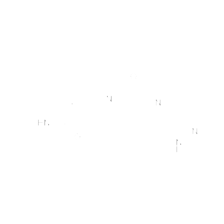 O=C(c1ccc2[nH]ncc2n1)N1CCC2(CC1)C(=O)Nc1ccccc12